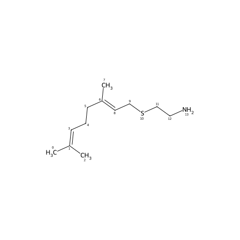 CC(C)=CCCC(C)=CCSCCN